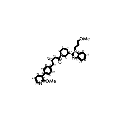 COCCCn1c([C@@H]2CCCN(C(=O)C[C@H](C)Cc3ccc(-c4cccnc4OC)cc3)C2)nc2ccccc21